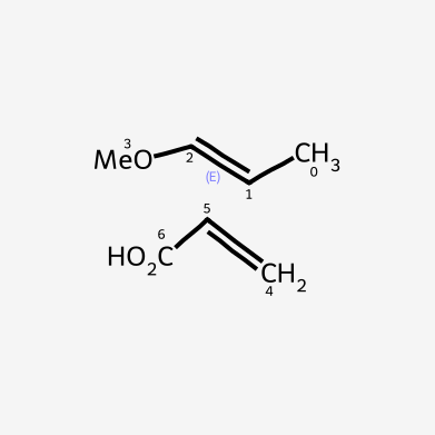 C/C=C/OC.C=CC(=O)O